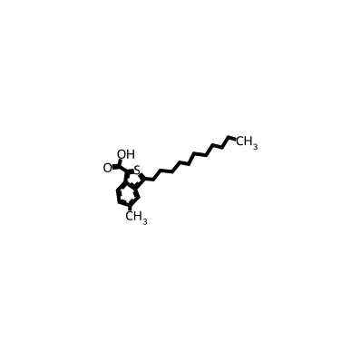 CCCCCCCCCCCc1sc(C(=O)O)c2ccc(C)cc12